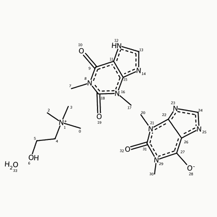 C[N+](C)(C)CCO.Cn1c(=O)c2[nH]cnc2n(C)c1=O.Cn1c2ncnc-2c([O-])n(C)c1=O.O